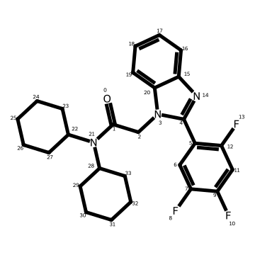 O=C(Cn1c(-c2cc(F)c(F)cc2F)nc2ccccc21)N(C1CCCCC1)C1CCCCC1